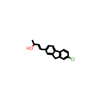 CC(O)C=Cc1ccc2c(c1)Cc1cc(Cl)ccc1-2